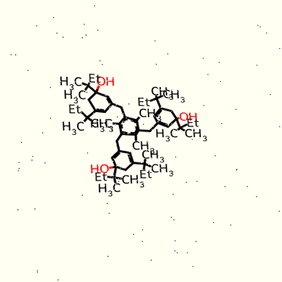 CCC(C)(C)C1=CC(Cc2c(C)c(CC3=CC(O)(C(C)(C)CC)CC(C(C)(C)CC)=C3)c(C)c(CC3=CC(O)(C(C)(C)CC)CC(C(C)(C)CC)=C3)c2C)=CC(O)(C(C)(C)CC)C1